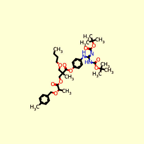 CCCCOCC(C)(COC(=O)C(C)OCc1ccc(C)cc1)C(=O)Oc1ccc(N/C(=N\C(=O)OC(C)(C)C)NC(=O)OC(C)(C)C)cc1